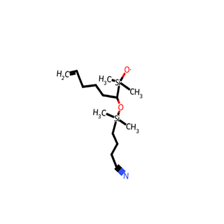 C=CCCCC(O[Si](C)(C)CCCC#N)[Si](C)(C)[O]